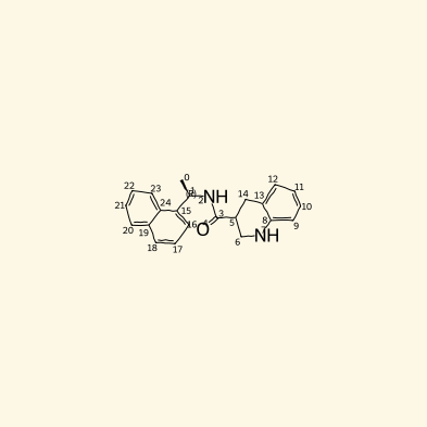 C[C@@H](NC(=O)C1CNc2ccccc2C1)c1cccc2ccccc12